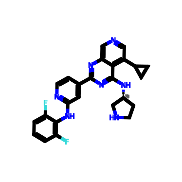 Fc1cccc(F)c1Nc1cc(-c2nc(N[C@@H]3CCNC3)c3c(C4CC4)cncc3n2)ccn1